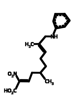 CC(=CCCC(C)CC=C(C(=O)O)[N+](=O)[O-])CNc1ccccc1